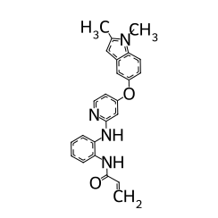 C=CC(=O)Nc1ccccc1Nc1cc(Oc2ccc3c(c2)cc(C)n3C)ccn1